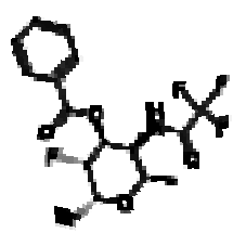 C[C@H]1O[C@H](Br)[C@H](F)[C@@H](OC(=O)c2ccccc2)[C@H]1NC(=O)C(F)(F)F